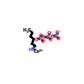 CCCCCC=N.O=[N+]([O-])[O-].O=[N+]([O-])[O-].O=[N+]([O-])[O-].[Co+3]